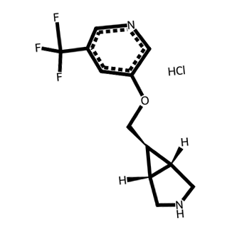 Cl.FC(F)(F)c1cncc(OC[C@H]2[C@@H]3CNC[C@@H]32)c1